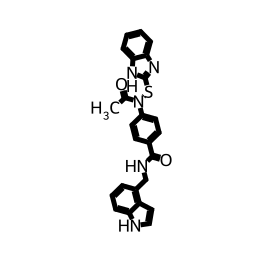 CC(=O)N(Sc1nc2ccccc2[nH]1)c1ccc(C(=O)NCc2cccc3[nH]ccc23)cc1